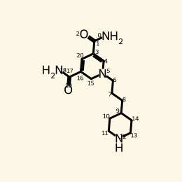 NC(=O)C1=CN(CCCC2CCNCC2)CC(C(N)=O)=C1